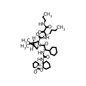 CCCC[C@H](NC(=O)[C@@H]1[C@@H]2[C@H](CN1C(=O)[C@@H](NC(=O)NC1([C@H]3CCCS3(=O)=O)CCCCC1)C1CCCCC1)C2(C)C)C(=O)C(=O)NCCC